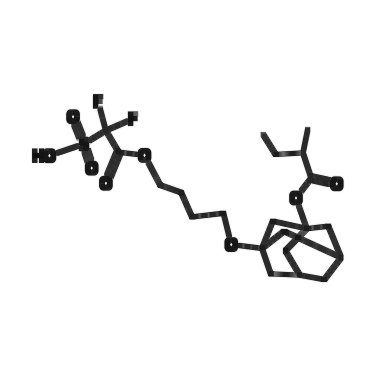 CCC(C)C(=O)OC12CC3CC(CC(OCCCCOC(=O)C(F)(F)S(=O)(=O)O)(C3)C1)C2